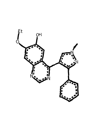 CCOc1cc2ncnc(-c3cn(C)nc3-c3ccccc3)c2cc1O